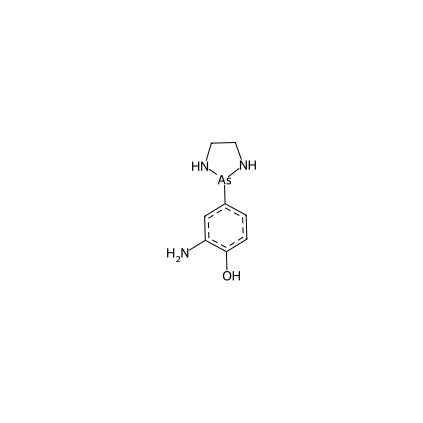 Nc1cc([As]2NCCN2)ccc1O